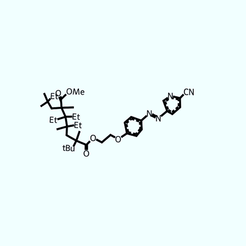 CCC(C)(C)CC(C)(C(=O)OC)C(CC)(CC)C(C)(CC)CC(C)(C(=O)OCCOc1ccc(/N=N/c2ccc(C#N)nc2)cc1)C(C)(C)C